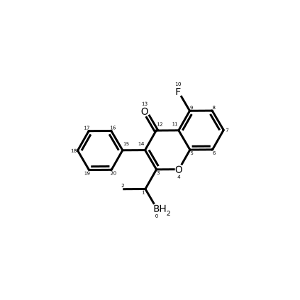 BC(C)c1oc2cccc(F)c2c(=O)c1-c1ccccc1